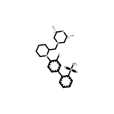 C[C@@H]1CN(CC2CCCCN2c2ccc(-c3ccccc3S(N)(=O)=O)cc2F)C[C@H](C)O1